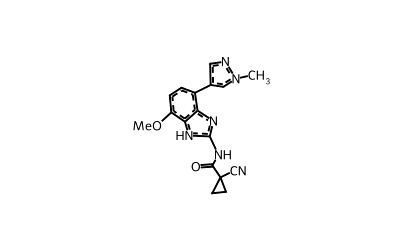 COc1ccc(-c2cnn(C)c2)c2nc(NC(=O)C3(C#N)CC3)[nH]c12